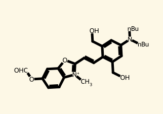 CCCCN(CCCC)c1cc(CO)c(/C=C/c2oc3cc(OC=O)ccc3[n+]2C)c(CO)c1